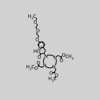 CCOCCOCCOc1ccc(CC(C(=O)O)N2CCN(CC(=O)OC)CCN(CC(=O)OC)CCN(CC(=O)OC)CC2)nc1